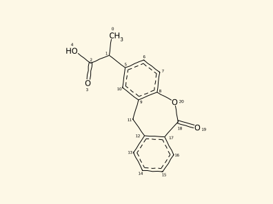 CC(C(=O)O)c1ccc2c(c1)Cc1ccccc1C(=O)O2